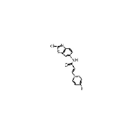 O=C(/C=C/c1ccc(F)cc1)Nc1ccc2nc(Cl)sc2c1